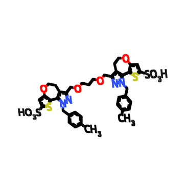 Cc1ccc(Cn2nc(COCCCOCc3nn(Cc4ccc(C)cc4)c4c3CCOc3cc(S(=O)(=O)O)sc3-4)c3c2-c2sc(S(=O)(=O)O)cc2OCC3)cc1